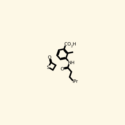 Cc1c(NC(=O)CCC(C)C)cccc1C(=O)O.O=C1CCS1